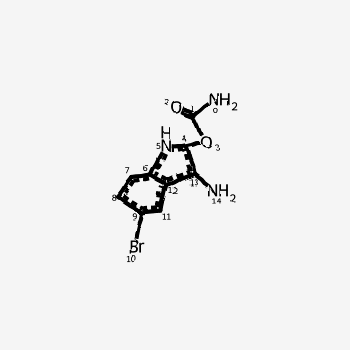 NC(=O)Oc1[nH]c2ccc(Br)cc2c1N